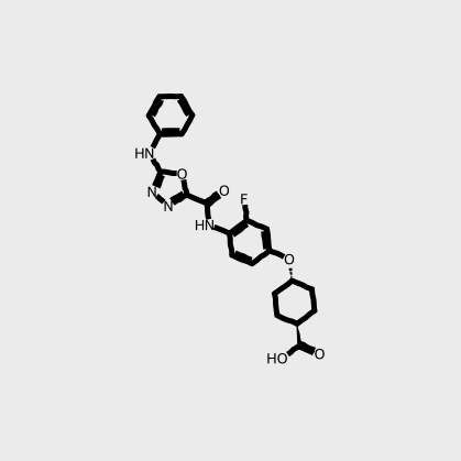 O=C(Nc1ccc(O[C@H]2CC[C@H](C(=O)O)CC2)cc1F)c1nnc(Nc2ccccc2)o1